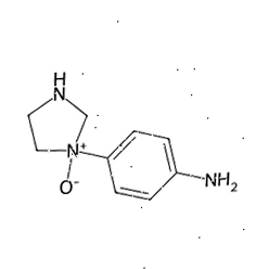 Nc1ccc([N+]2([O-])CCNC2)cc1